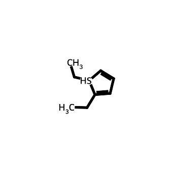 CCC1=CC=C[SH]1CC